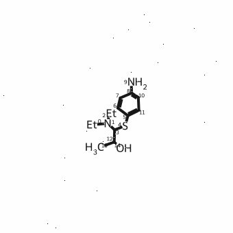 CCN(CC)C(Sc1ccc(N)cc1)C(C)O